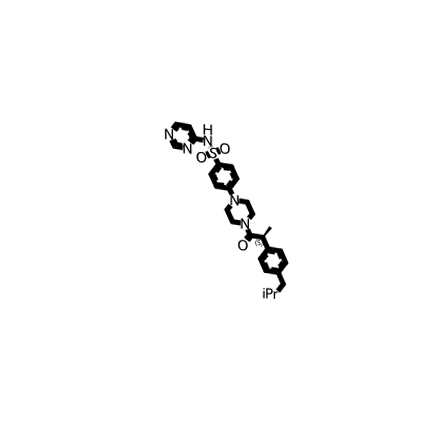 CC(C)Cc1ccc([C@H](C)C(=O)N2CCN(c3ccc(S(=O)(=O)Nc4ccncn4)cc3)CC2)cc1